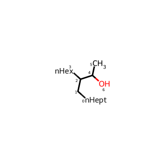 CCCCCCCCC(CCCCCC)C(C)O